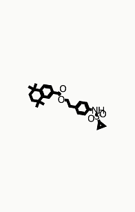 CC1(C)CCC(C)(C)c2cc(C(=O)OCCc3ccc(NS(=O)(=O)C4CC4)cc3)ccc21